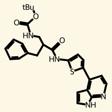 CC(C)(C)OC(=O)NCC(Cc1ccccc1)C(=O)Nc1ccc(-c2ccnc3[nH]ccc23)s1